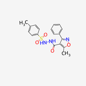 Cc1ccc(S(=O)(=O)NNC(=O)c2c(-c3ccccc3)noc2C)cc1